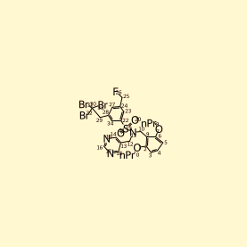 CCCOc1cccc(OCCC)c1CN(Cc1cncnc1)S(=O)(=O)c1cc(CF)cc(CC(Br)(Br)Br)c1